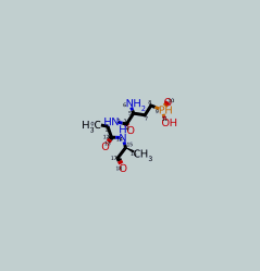 CC(NC(=O)C(N)CC[PH](=O)O)C(=O)N[C@@H](C)C=O